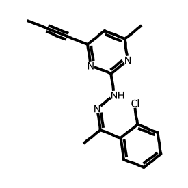 CC#Cc1cc(C)nc(NN=C(C)c2ccccc2Cl)n1